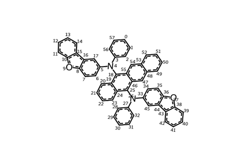 c1ccc(N(c2ccc3oc4ccccc4c3c2)c2c3ccccc3c(N(c3ccccc3)c3ccc4oc5ccccc5c4c3)c3cc4ccccc4cc23)cc1